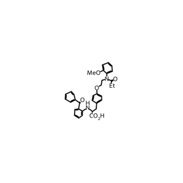 CCC(=O)N(CCOc1ccc(C[C@H](Nc2ccccc2C(=O)c2ccccc2)C(=O)O)cc1)c1ccccc1OC